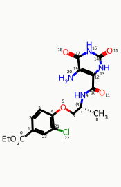 CCOC(=O)c1ccc(OC[C@@H](C)NC(=O)c2[nH]c(=O)[nH]c(=O)c2N)c(Cl)c1